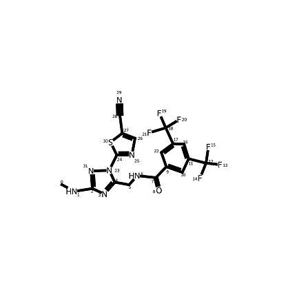 CNc1nc(CNC(=O)c2cc(C(F)(F)F)cc(C(F)(F)F)c2)n(-c2ncc(C#N)s2)n1